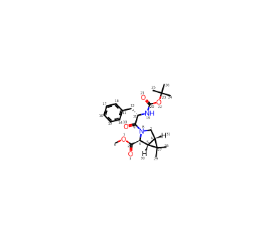 COC(=O)[C@@H]1[C@@H]2[C@H](CN1C(=O)[C@H](Cc1ccccc1)NC(=O)OC(C)(C)C)C2(C)C